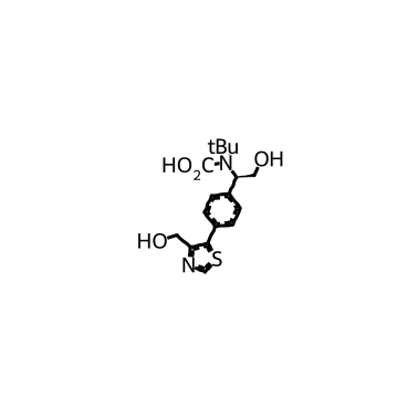 CC(C)(C)N(C(=O)O)[C@@H](CO)c1ccc(-c2scnc2CO)cc1